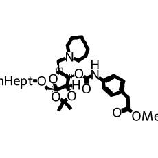 CCCCCCCOC[C@@]12O[C@@H](CN3CCCCCC3)[C@@H](OC(=O)Nc3ccc(CC(=O)OC)cc3)[C@@H]1OC(C)(C)O2